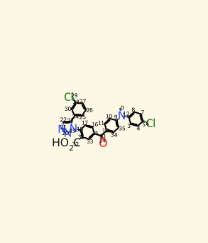 CN(c1ccc(Cl)cc1)c1ccc(C(=O)c2ccc(-n3nncc3-c3cccc(Cl)c3)c(C(=O)O)c2)cc1